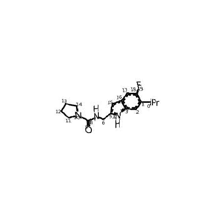 CC(C)c1cc2[nH]c(CNC(=O)N3CCCC3)cc2cc1F